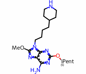 CCC[C@H](C)Oc1nc(N)c2nc(OC)n(CCCCC3CCNCC3)c2n1